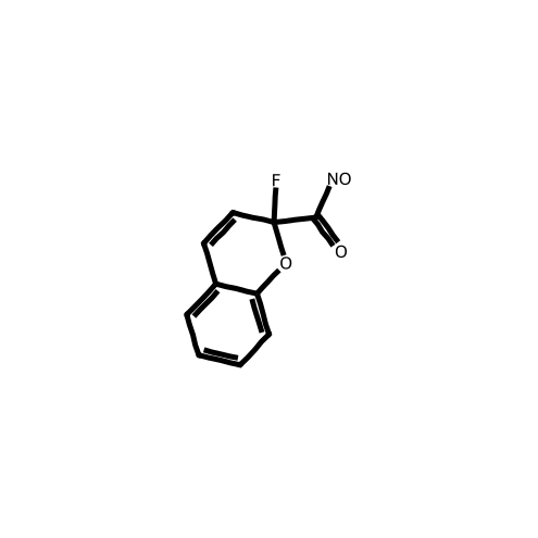 O=NC(=O)C1(F)C=Cc2ccccc2O1